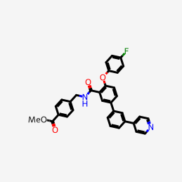 COC(=O)c1ccc(CNC(=O)c2cc(-c3cccc(-c4ccncc4)c3)ccc2Oc2ccc(F)cc2)cc1